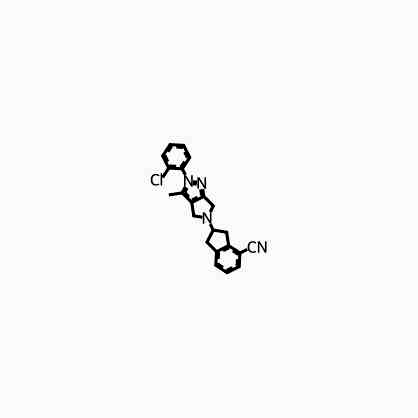 Cc1c2c(nn1-c1ccccc1Cl)CN(C1Cc3cccc(C#N)c3C1)C2